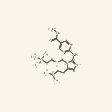 COC(=O)c1cnc(Nc2ncc(CCN(C)C)n2COCC[Si](C)(C)C)nc1